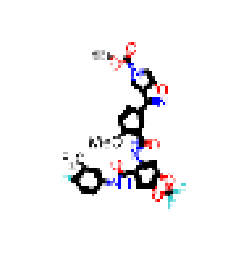 COc1ccc(C2=NOC3CN(C(=O)OC(C)(C)C)CC23)cc1C(=O)Nc1cc2c(cc1C(=O)Nc1ccc(F)c(C(F)(F)F)c1)OC(F)(F)O2